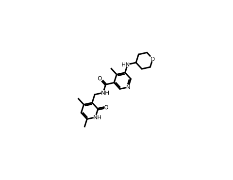 Cc1cc(C)c(CNC(=O)c2cncc(NC3CCOCC3)c2C)c(=O)[nH]1